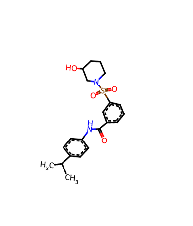 CC(C)c1ccc(NC(=O)c2cccc(S(=O)(=O)N3CCCC(O)C3)c2)cc1